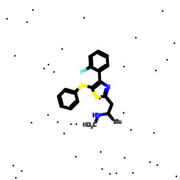 CC(C)(C)C(Cc1nc(-c2ccccc2F)c(Sc2ccccc2)s1)NC(=O)O